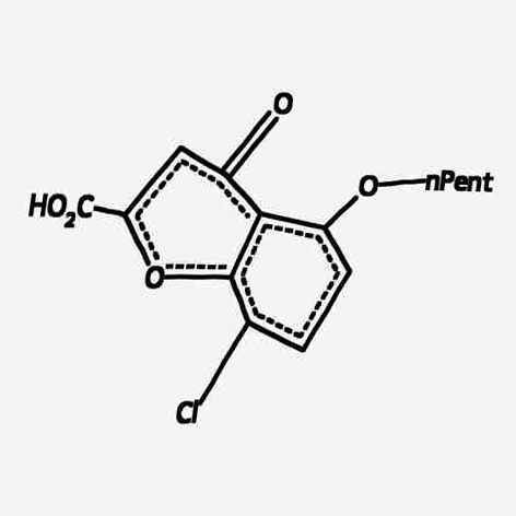 CCCCCOc1ccc(Cl)c2oc(C(=O)O)cc(=O)c12